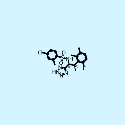 Cc1cc(Cl)ccc1S(=O)(=O)N[C@H](c1nn[nH]n1)[C@H](C)c1c(F)ccc(C)c1C